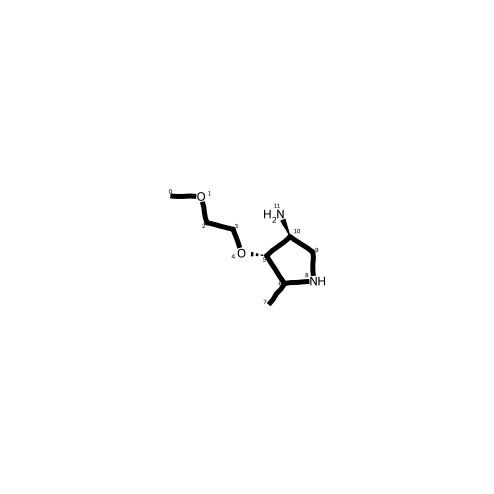 COCCO[C@H]1C(C)NC[C@@H]1N